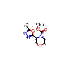 Cc1nnc(C2COCCN2C(=O)OC(C)(C)C)o1